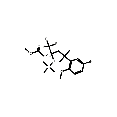 COC(=O)C[C@](CC(C)(C)c1cc(F)ccc1OC)(O[Si](C)(C)C)C(F)(F)F